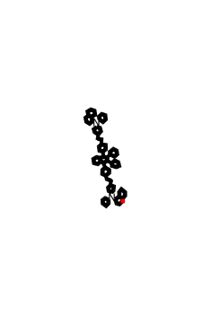 C(=C\c1ccc(N(c2ccccc2)c2cccc3ccccc23)cc1)/c1ccc(-c2c(-c3ccccc3)c(-c3ccccc3)c(-c3ccc(/C=C/c4ccc(N(c5ccccc5)c5cccc6ccccc56)cc4)cc3)c3ccccc23)cc1